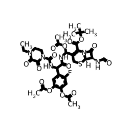 CCN1CCN(C(=O)NC(C(=O)NC(OC(C)=O)C2=C(C(=O)OC(C)(C)C)N3C(=O)[C@@H](NC=O)[C@H]3SC2)c2cc(OC(C)=O)c(OC(C)=O)cc2F)C(=O)C1=O